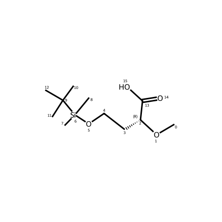 CO[C@H](CCO[Si](C)(C)C(C)(C)C)C(=O)O